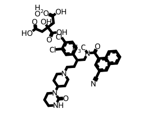 CN(CC(CCN1CCC(N2CCCNC2=O)CC1)c1ccc(Cl)c(Cl)c1)C(=O)c1cc(C#N)cc2ccccc12.O.O=C(O)CC(O)(CC(=O)O)C(=O)O